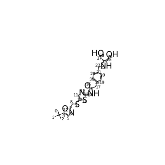 CC(C)(C)c1cnc(CSc2cnc(NC(=O)Cc3ccc(CNC(CO)CO)cc3)s2)o1